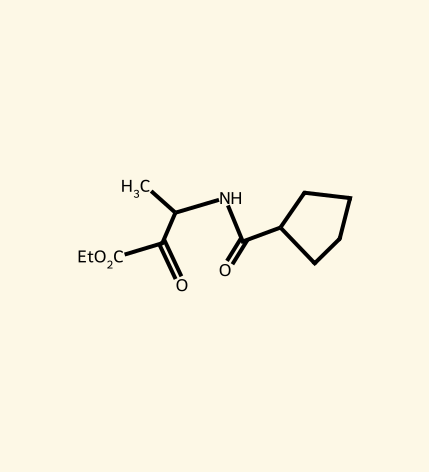 CCOC(=O)C(=O)C(C)NC(=O)C1CCCC1